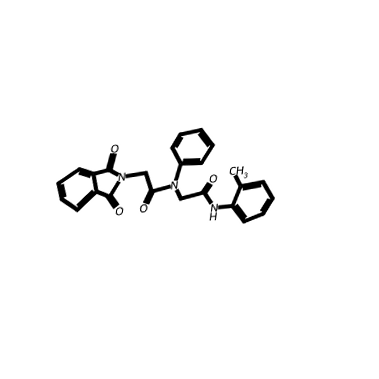 Cc1ccccc1NC(=O)CN(C(=O)CN1C(=O)c2ccccc2C1=O)c1ccccc1